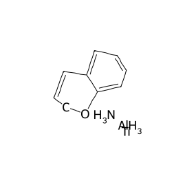 C1=Cc2ccccc2OC1.N.[AlH3].[Ti]